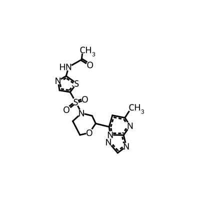 CC(=O)Nc1ncc(S(=O)(=O)N2CCOC(c3cc(C)nc4ncnn34)C2)s1